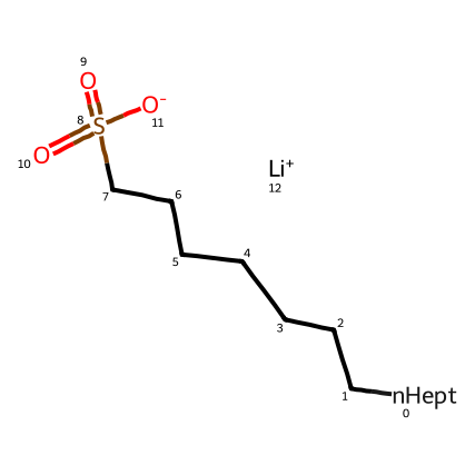 CCCCCCCCCCCCCCS(=O)(=O)[O-].[Li+]